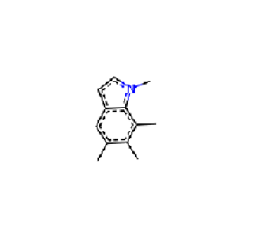 Cc1cc2ccn(C)c2c(C)c1C